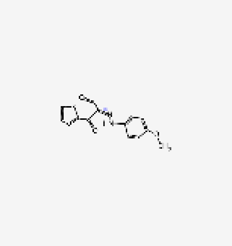 COc1ccc(N/N=C(/C=O)C(=O)c2cccs2)cc1